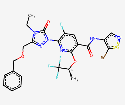 CCn1c(COCc2ccccc2)nn(-c2nc(O[C@@H](C)C(F)(F)F)c(C(=O)Nc3cnsc3Br)cc2F)c1=O